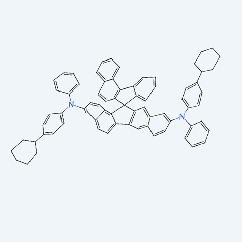 c1ccc(N(c2ccc(C3CCCCC3)cc2)c2ccc3cc4c(cc3c2)C2(c3ccccc3-c3c2ccc2ccccc32)c2c-4ccc3cc(N(c4ccccc4)c4ccc(C5CCCCC5)cc4)ccc23)cc1